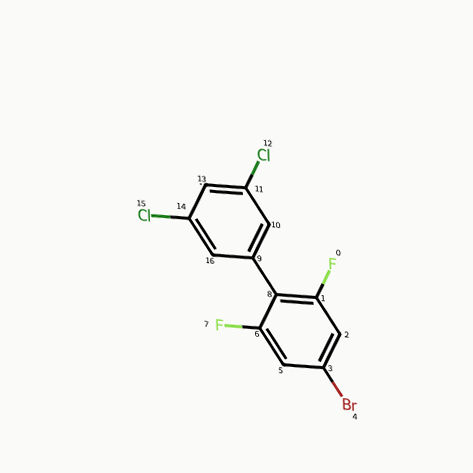 Fc1cc(Br)cc(F)c1-c1cc(Cl)[c]c(Cl)c1